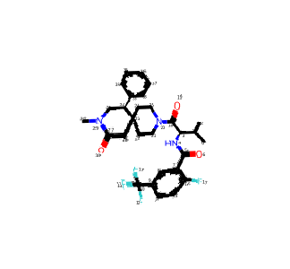 CC(C)[C@@H](NC(=O)c1cc(C(F)(F)F)ccc1F)C(=O)N1CCC2(CC1)CC(=O)N(C)C[C@H]2c1ccccc1